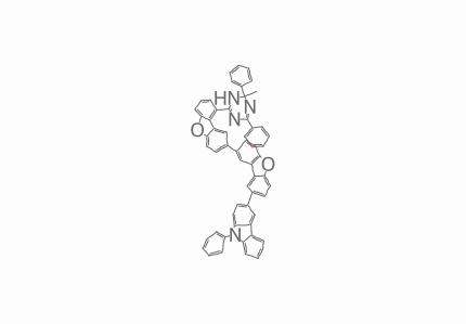 CC1(c2ccccc2)N=C(c2ccccc2)N=C(c2cccc3oc4ccc(-c5ccc6oc7ccc(-c8ccc9c(c8)c8ccccc8n9-c8ccccc8)cc7c6c5)cc4c23)N1